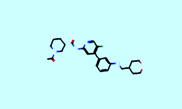 CC(=O)N1CCC[C@H](C(=O)Nc2cc(-c3cccc(NCC4CCOCC4)c3)c(Cl)cn2)C1